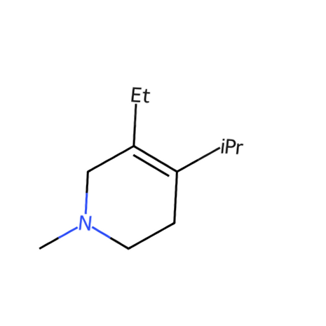 CCC1=C(C(C)C)CCN(C)C1